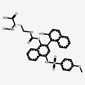 COc1ccc(S(=O)(=O)Nc2cc(-c3c(O)ccc4ccccc34)c(OC(=O)NCC[C@H](NCl)C(=O)O)c3ccccc23)cc1